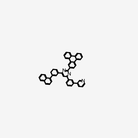 C1=C(c2cc(-c3cccc(-c4cccnc4)c3)nc(-c3ccc4c5ccccc5c5ccccc5c4c3)n2)C=C(c2cccc3ccccc23)CC1